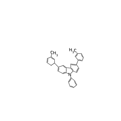 CC1=CC(c2ccc3c(c2)c2cc(-c4cccc(C)c4)ccc2n3-c2ccccc2)CC=C1